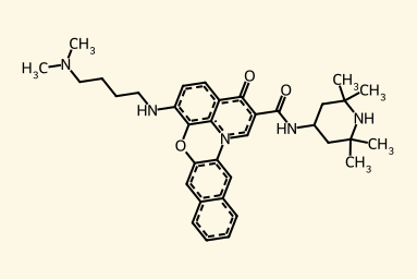 CN(C)CCCCNc1ccc2c(=O)c(C(=O)NC3CC(C)(C)NC(C)(C)C3)cn3c2c1Oc1cc2ccccc2cc1-3